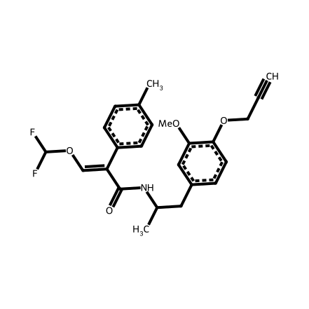 C#CCOc1ccc(CC(C)NC(=O)/C(=C/OC(F)F)c2ccc(C)cc2)cc1OC